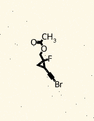 CC(=O)OCC1(F)CC1C#CBr